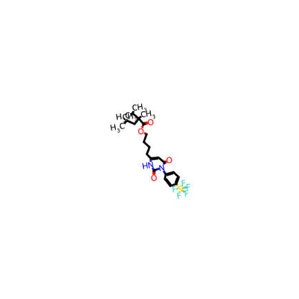 CC(C)CC(C)(C(=O)OCCCCc1cc(=O)n(-c2ccc(S(F)(F)(F)(F)F)cc2)c(=O)[nH]1)C(C)C